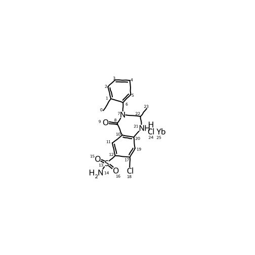 Cc1ccccc1N1C(=O)c2cc(S(N)(=O)=O)c(Cl)cc2NC1C.Cl.[Yb]